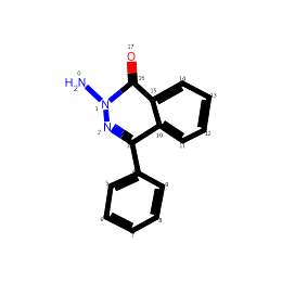 Nn1nc(-c2ccccc2)c2ccccc2c1=O